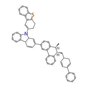 C[C@@H]1c2ccc(C3=CC4C(C=C3)c3ccccc3N4C3=Cc4c(sc5ccccc45)CC3)cc2-c2ccccc2[C@@H]1CC1C=CC(c2ccccc2)=CC1